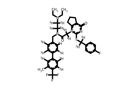 [2H]c1c([2H])c(-c2c([2H])c([2H])c(C(F)(F)F)c(C)c2[2H])c([2H])c([2H])c1CN(C(=O)C([2H])([2H])n1c(SC([2H])([2H])c2ccc(F)cc2)nc(=O)c2c1CCC2)C([2H])([2H])C([2H])([2H])N(CC)CC